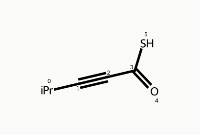 CC(C)C#CC(=O)S